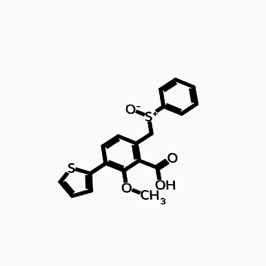 COc1c(-c2cccs2)ccc(C[S+]([O-])c2ccccc2)c1C(=O)O